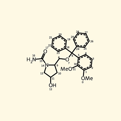 COc1cccc(C(OCC2CC(O)CN2C(N)=O)(c2ccccc2)c2ccccc2)c1OC